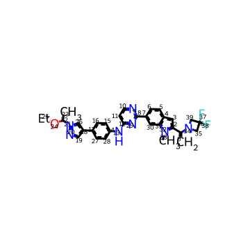 C=C(c1cc2ccc(-c3nccc(Nc4ccc(-c5cnn(C(C)OCC)c5)cc4)n3)cc2n1C)N1CC(F)(F)C1